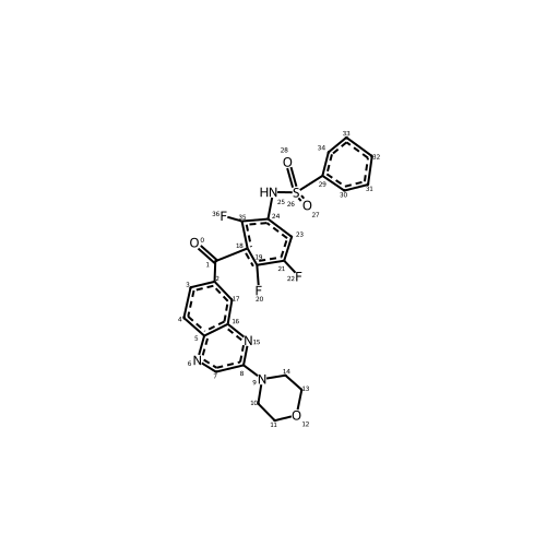 O=C(c1ccc2ncc(N3CCOCC3)nc2c1)c1c(F)c(F)cc(NS(=O)(=O)c2ccccc2)c1F